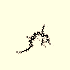 CCCCCCCCC#Cc1ccc(-c2ccc(-c3cc(C)c(-c4ccc(-c5ccc(-c6cc(OCCCCCC)c(-c7ccc(OP(OCC)OCC)s7)cc6OCCCCCC)s5)s4)cc3C)s2)s1